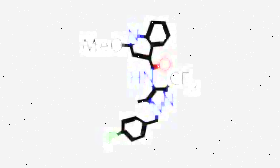 COc1cc(C(=O)Nc2c(C(F)(F)F)nn(Cc3ccc(F)cc3)c2C)c2ccccc2n1